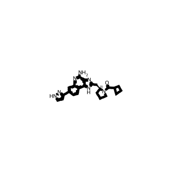 Nc1nc2cc(-c3cc[nH]n3)ccc2c2[nH]c(C[C@@H]3CCCN3C(=O)C3CCC3)nc12